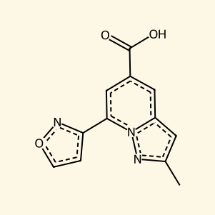 Cc1cc2cc(C(=O)O)cc(-c3ccon3)n2n1